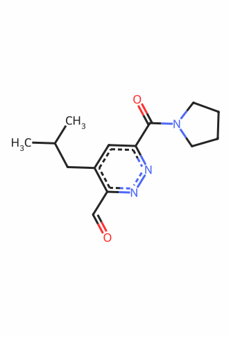 CC(C)Cc1cc(C(=O)N2CCCC2)nnc1C=O